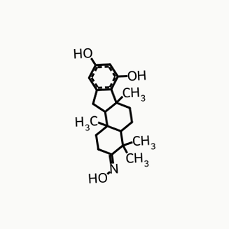 CC1(C)C(=NO)CCC2(C)C1CCC1(C)c3c(O)cc(O)cc3CC12